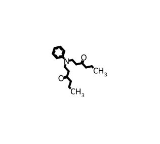 CCCC(=O)CCN(CCC(=O)CCC)c1ccccc1